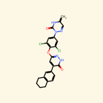 C=C1C=NN(c2cc(Cl)c(Oc3cc(-c4ccc5c(c4)CCCC5)c(=O)[nH]n3)c(Cl)c2)C(=O)N1